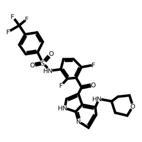 O=C(c1c(F)ccc(NS(=O)(=O)c2ccc(C(F)(F)F)cc2)c1F)c1c[nH]c2nccc(NC3CCOCC3)c12